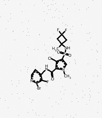 Cn1cc(S(=O)(=O)NC2(C)CC(F)(F)C2)c(Cl)c1C(=O)Nc1ccnc(Br)c1F